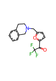 O=C(c1ccc(CN2CCc3ccccc3C2)o1)C(F)(F)F